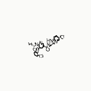 Nc1ncc(C(=O)NCc2cn3cc(Cl)ccc3n2)cc1OCc1c(Cl)cccc1Cl